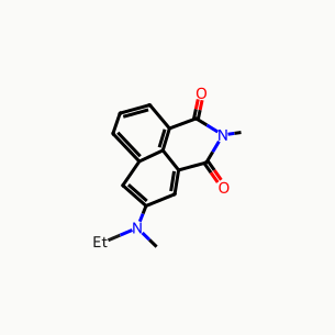 CCN(C)c1cc2c3c(cccc3c1)C(=O)N(C)C2=O